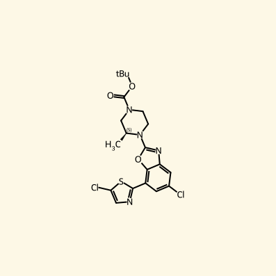 C[C@H]1CN(C(=O)OC(C)(C)C)CCN1c1nc2cc(Cl)cc(-c3ncc(Cl)s3)c2o1